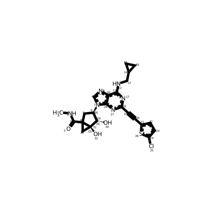 CNC(=O)C12C[C@@H](n3cnc4c(NCC5CC5)nc(C#Cc5ccc(Cl)s5)nc43)[C@H](O)[C@]1(O)C2